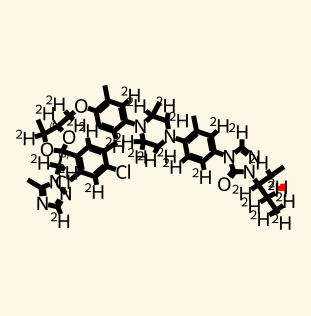 [2H]c1nc(C)n(C([2H])([2H])[C@@]2(c3c(C)c(C)c(Cl)c([2H])c3Cl)OC([2H])(C)[C@@]([2H])(C([2H])([2H])Oc3c([2H])c([2H])c(N4C([2H])([2H])C([2H])([2H])N(c5c([2H])c([2H])c(-n6c([2H])nn(C([2H])(C([2H])([2H])C)C([2H])([2H])C([2H])([2H])[2H])c6=O)c([2H])c5C)C([2H])([2H])C4([2H])C)c([2H])c3C)O2)n1